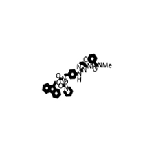 CNC(=O)c1ccccc1Nc1nc(Nc2ccc(CN(OC(=O)N3CCCCC3)C(=O)OCC3c4ccccc4-c4ccccc43)cc2)ncc1C(F)(F)F